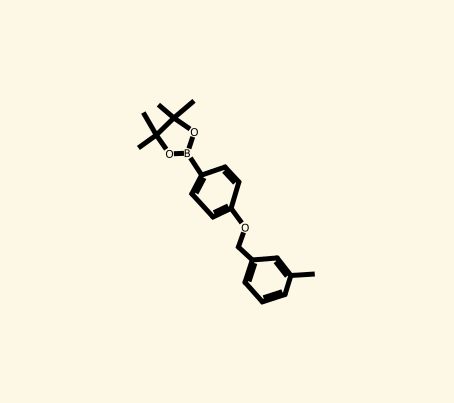 Cc1cccc(COc2ccc(B3OC(C)(C)C(C)(C)O3)cc2)c1